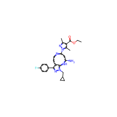 CCOC(=O)c1c(C)nn(-c2cc(N)[nH]c3c(ccn2)c(-c2ccc(F)cc2)nn3CC2CC2)c1C